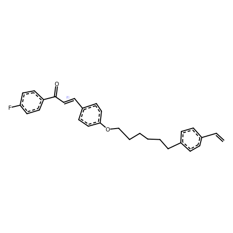 C=Cc1ccc(CCCCCCOc2ccc(/C=C/C(=O)c3ccc(F)cc3)cc2)cc1